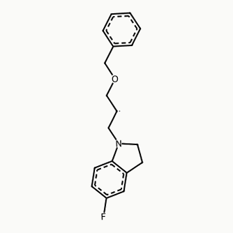 Fc1ccc2c(c1)CCN2C[CH]COCc1ccccc1